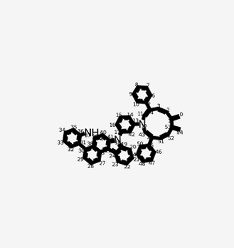 C=C1/C=C\C(c2ccccc2)=C/N(c2cccc(-n3c4ccccc4c4c5cccc(-c6ccccc6N)c5ccc43)c2)/C=C(c2ccccc2)\C=C/C1=C